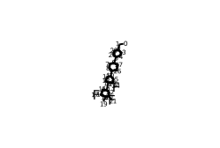 CCc1ccc(-c2ccc(-c3ccc(-c4cc(F)c(C)c(F)c4)c(F)c3)cc2)cc1